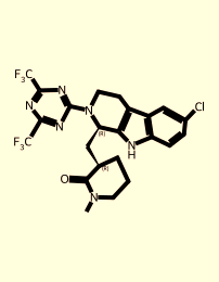 CN1CCC[C@H](C[C@@H]2c3[nH]c4ccc(Cl)cc4c3CCN2c2nc(C(F)(F)F)nc(C(F)(F)F)n2)C1=O